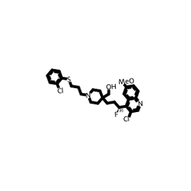 COc1ccc2ncc(Cl)c([C@H](F)CCC3(CO)CCN(CCCSc4ccccc4Cl)CC3)c2c1